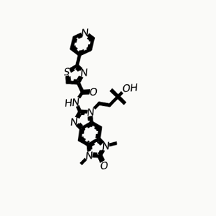 Cn1c(=O)n(C)c2cc3c(cc21)nc(NC(=O)c1csc(-c2ccncc2)n1)n3CCC(C)(C)O